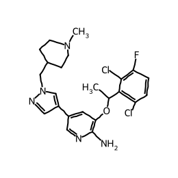 CC(Oc1cc(-c2cnn(CC3CCN(C)CC3)c2)cnc1N)c1c(Cl)ccc(F)c1Cl